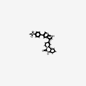 CS(=O)(=O)c1ccc(-c2cnc3[nH]cc(C4=CC5C6CCCC6NC(=O)N5CC4)c3c2)cc1